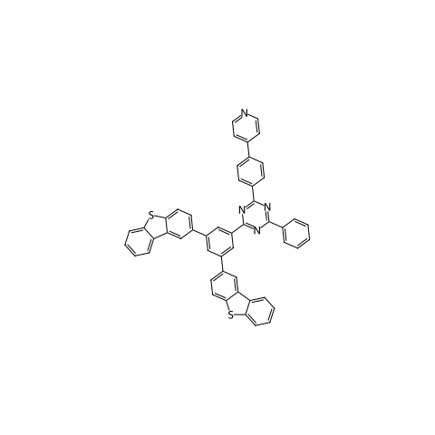 c1ccc(-c2nc(-c3ccc(-c4ccncc4)cc3)nc(-c3cc(-c4ccc5sc6ccccc6c5c4)cc(-c4ccc5sc6ccccc6c5c4)c3)n2)cc1